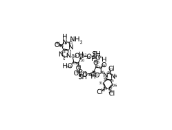 Nc1nc2c(ncn2[C@@H]2O[C@@H]3COP(=O)(S)OC4C(O)[C@H](n5c(Cl)nc6cc(Cl)c(Cl)cc65)O[C@@H]4COP(=O)(S)OC3C2O)c(=O)[nH]1